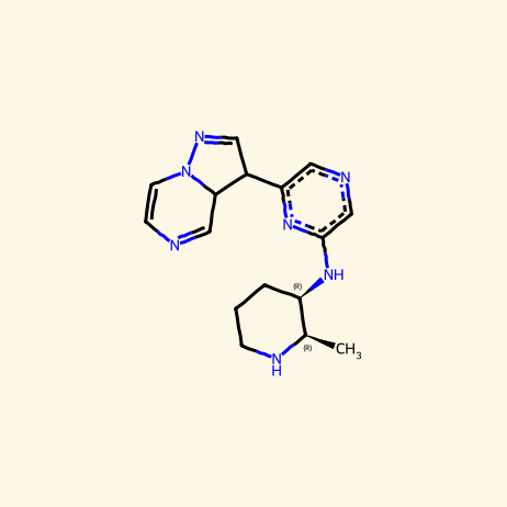 C[C@H]1NCCC[C@H]1Nc1cncc(C2C=NN3C=CN=CC23)n1